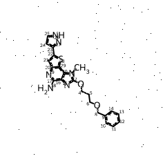 Cn1c(OCCCOCc2ccccc2)nc2c(N)nc3cc(-c4cc[nH]n4)sc3c21